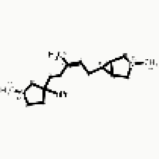 CCCC1(CC/C(C)=C\CC2C3CN(C)CC23)CCN(C)C1